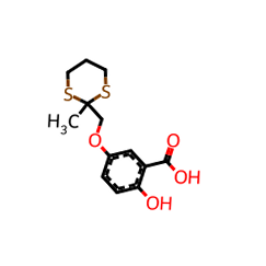 CC1(COc2ccc(O)c(C(=O)O)c2)SCCCS1